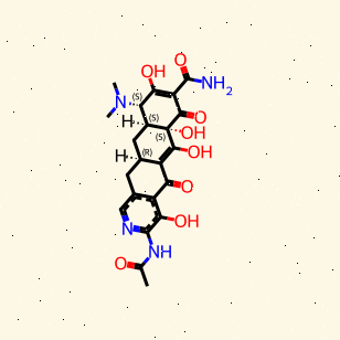 CC(=O)Nc1ncc2c(c1O)C(=O)C1=C(O)[C@]3(O)C(=O)C(C(N)=O)=C(O)[C@@H](N(C)C)[C@@H]3C[C@@H]1C2